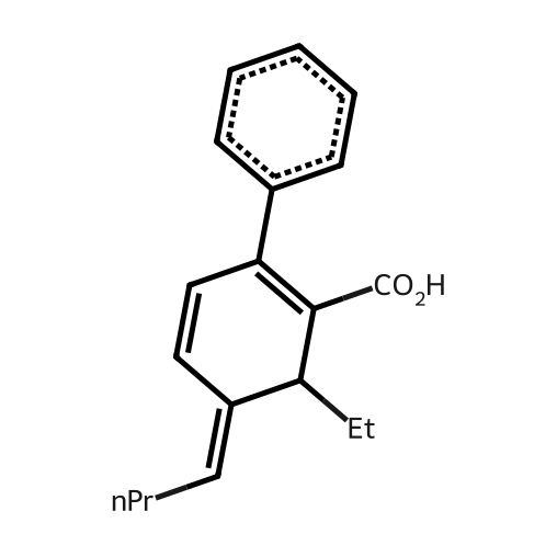 CCCC=C1C=CC(c2ccccc2)=C(C(=O)O)C1CC